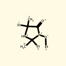 CCON1C(=O)C(C)(CC)NC1(C)CC